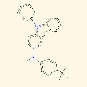 CN(c1ccc(C(C)(C)C)cc1)c1ccc2c(c1)c1ccccc1n2-c1ccccc1